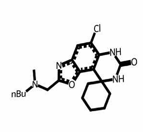 CCCCN(C)Cc1nc2cc(Cl)c3c(c2o1)C1(CCCCC1)NC(=O)N3